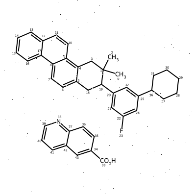 CC1(C)Cc2c(ccc3c2ccc2ccccc23)CC1c1cc(F)cc(C2CCCCC2)c1.O=C(O)c1ccc2ncccc2c1